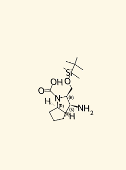 CC(C)(C)[Si](C)(C)OC[C@H]1[C@@H](N)[C@H]2CCC[C@H]2N1C(=O)O